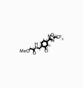 COCC(=O)NCc1ccc(-c2noc(C(F)(F)F)n2)cc1Cl